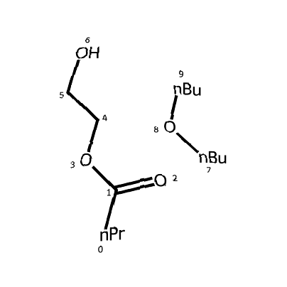 CCCC(=O)OCCO.CCCCOCCCC